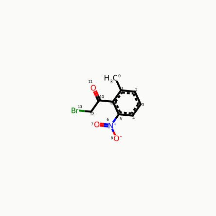 Cc1cccc([N+](=O)[O-])c1C(=O)CBr